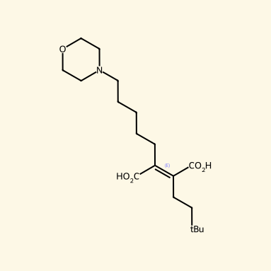 CC(C)(C)CC/C(C(=O)O)=C(/CCCCCN1CCOCC1)C(=O)O